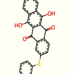 O=C1c2ccc(Sc3ccccc3)cc2C(=O)c2c1c(O)c1ccccc1c2O